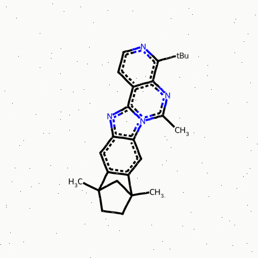 Cc1nc2c(C(C)(C)C)nccc2c2nc3cc4c(cc3n12)C1(C)CCC4(C)C1